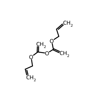 C=CCOC(=C)OC(=C)OCC=C